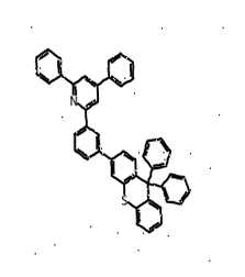 c1ccc(-c2cc(-c3ccccc3)nc(-c3cccc(-c4ccc5c(c4)Sc4ccccc4C5(c4ccccc4)c4ccccc4)c3)c2)cc1